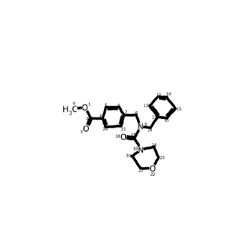 COC(=O)c1ccc(CN(Cc2ccccc2)C(=O)N2CCOCC2)cc1